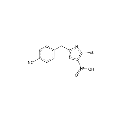 CCc1nn(Cc2ccc(C#N)cc2)cc1[N+](=O)O